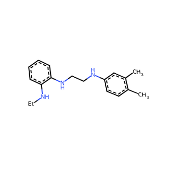 CCNc1ccccc1NCCNc1ccc(C)c(C)c1